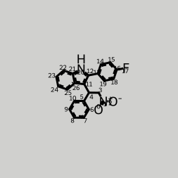 O=[N+]([O-])CC(c1ccccc1)c1c(-c2ccc(F)cc2)[nH]c2ccccc12